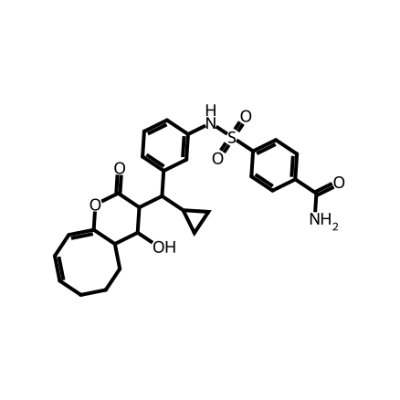 NC(=O)c1ccc(S(=O)(=O)Nc2cccc(C(C3CC3)C3C(=O)OC4=CC=CCCCC4C3O)c2)cc1